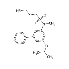 CC(C)Oc1cc(-c2ccccc2)cc(N(C)S(=O)(=O)CCCS)c1